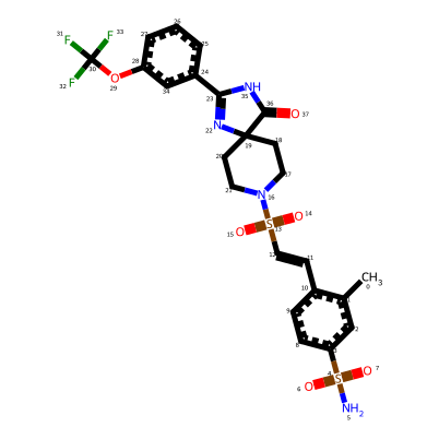 Cc1cc(S(N)(=O)=O)ccc1C=CS(=O)(=O)N1CCC2(CC1)N=C(c1cccc(OC(F)(F)F)c1)NC2=O